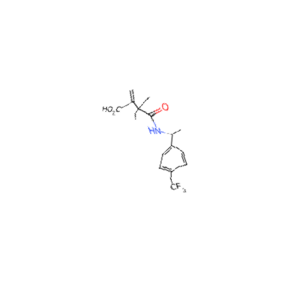 C=C(C(=O)O)C(C)(C)C(=O)NC(C)c1ccc(C(F)(F)F)cc1